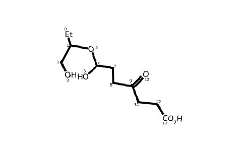 CCC(CO)OC(O)CCC(=O)CCC(=O)O